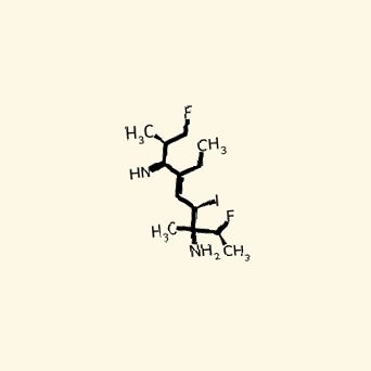 CC/C(=C\[C@@H](I)C(C)(N)[C@H](C)F)C(=N)[C@@H](C)CF